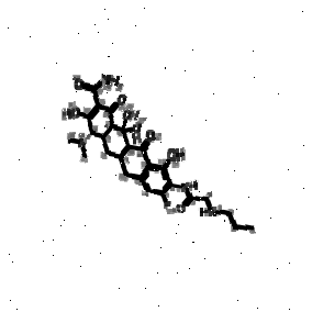 CCCNCC(=O)Nc1c(F)cc2c(c1O)C(=O)C1C(C2)CC2C(C(=O)C(C(N)=O)=C(O)[C@H]2N(C)C)C1(O)O